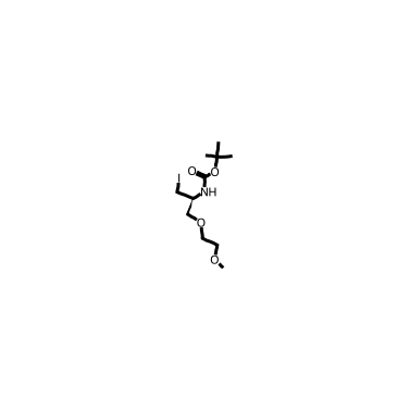 COCCOC[C@@H](CI)NC(=O)OC(C)(C)C